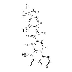 CN(C(=O)c1cccnc1)c1cccc(C(=O)N(I)c2ccc(C(F)(C(F)(F)F)C(F)(F)F)cc2C(F)(F)F)c1F